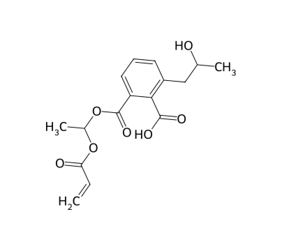 C=CC(=O)OC(C)OC(=O)c1cccc(CC(C)O)c1C(=O)O